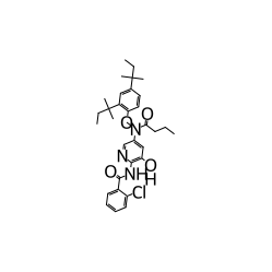 CCCC(=O)N(Oc1ccc(C(C)(C)CC)cc1C(C)(C)CC)c1cnc(NC(=O)c2ccccc2Cl)c(O)c1